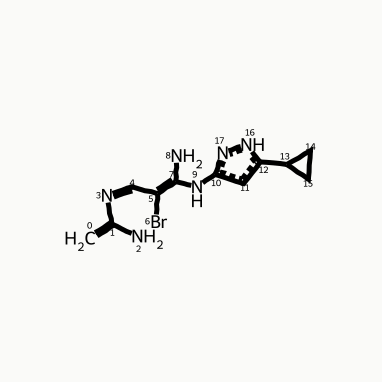 C=C(N)/N=C\C(Br)=C(/N)Nc1cc(C2CC2)[nH]n1